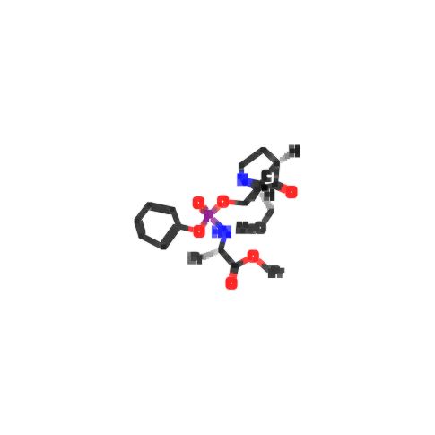 COC[C@@]1(COP(=O)(N[C@H](C(=O)OC(C)C)C(C)C)Oc2ccccc2)C(=O)[C@@H]2CCN1[C@@H](C)C2